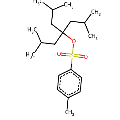 Cc1ccc(S(=O)(=O)OC(CC(C)C)(CC(C)C)CC(C)C)cc1